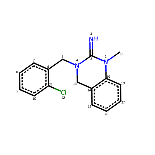 CN1C(=N)N(Cc2ccccc2Cl)Cc2ccccc21